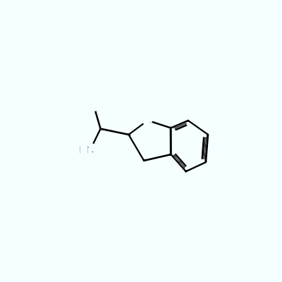 CC(N)C1Cc2ccccc2S1